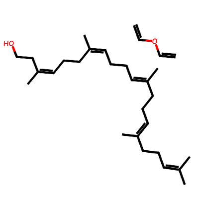 C=COC=C.CC(C)=CCCC(C)=CCCC(C)=CCCC=C(C)CCC=C(C)CCO